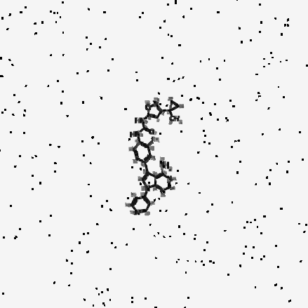 CC1(c2cc(NC(=O)Nc3ccc(-c4cn(-c5ccncc5)c5ncnc(N)c45)cc3F)on2)CC1